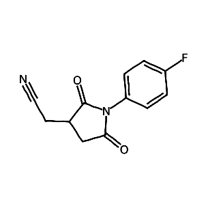 N#CCC1CC(=O)N(c2ccc(F)cc2)C1=O